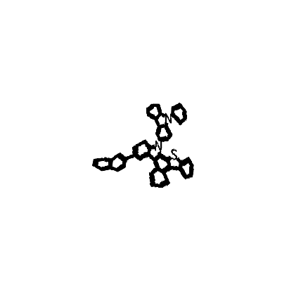 c1ccc(-n2c3ccccc3c3cc(-n4c5ccc(-c6ccc7ccccc7c6)cc5c5c6ccccc6c6c7ccccc7sc6c54)ccc32)cc1